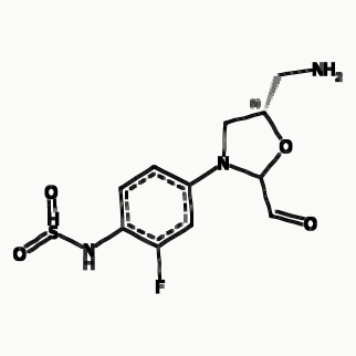 NC[C@H]1CN(c2ccc(N[SH](=O)=O)c(F)c2)C(C=O)O1